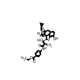 CCOC(=O)c1ccc(NC(=O)/C(C)=C(\O)[C@@H]2Oc3c(O)ccc4c3[C@@]23CCN(CC2CC2)[C@H](C4)[C@@]3(C)O)cc1